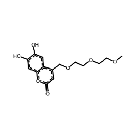 COCCOCCOCc1cc(=O)oc2cc(O)c(O)cc12